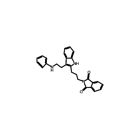 O=C1c2ccccc2C(=O)N1CCCc1[nH]c2ccccc2c1CCNc1ccccc1